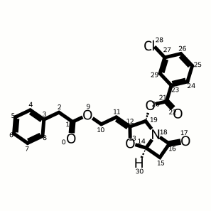 O=C(Cc1ccccc1)OC/C=C1\O[C@@H]2CC(=O)N2[C@H]1OC(=O)c1cccc(Cl)c1